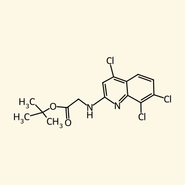 CC(C)(C)OC(=O)CNc1cc(Cl)c2ccc(Cl)c(Cl)c2n1